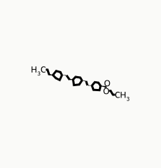 CCCOC(=O)[C@H]1CC[C@H](CC[C@H]2CC[C@H](CC[C@H]3CC[C@H](CCC)CC3)CC2)CC1